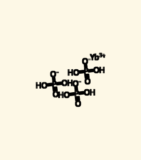 O=P([O-])(O)O.O=P([O-])(O)O.O=P([O-])(O)O.[Yb+3]